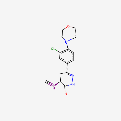 C#[PH][C@H]1CC(c2ccc(N3CCOCC3)c(Cl)c2)=NNC1=O